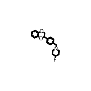 FC1CCN(Cc2ccc(C3COc4ccccc4O3)cc2)CC1